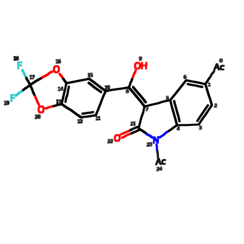 CC(=O)c1ccc2c(c1)C(=C(O)c1ccc3c(c1)OC(F)(F)O3)C(=O)N2C(C)=O